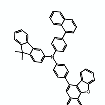 CC1(C)c2ccccc2-c2cc(N(c3ccc(-c4cccc5ccccc45)cc3)c3ccc(-c4cc5ccccc5c5oc6ccccc6c45)cc3)ccc21